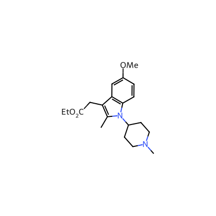 CCOC(=O)Cc1c(C)n(C2CCN(C)CC2)c2ccc(OC)cc12